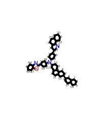 c1ccc2cc(-c3ccc4c(ccc5cc(N(c6ccc(-c7cnc8c(ccc9ccccc98)c7)cc6)c6ccc(-c7nc8ccccc8o7)cc6)ccc54)c3)ccc2c1